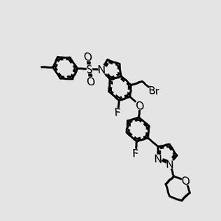 Cc1ccc(S(=O)(=O)n2ccc3c(CBr)c(Oc4ccc(F)c(-c5ccn(C6CCCCO6)n5)c4)c(F)cc32)cc1